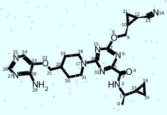 C[C@@H](NC(=O)c1nc(OC[C@H]2C[C@H]2C#N)nc(N2CCC(COc3cncnc3N)CC2)n1)C1CC1